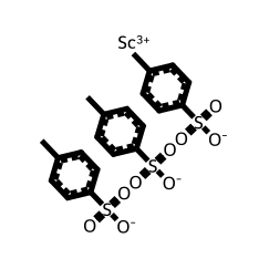 Cc1ccc(S(=O)(=O)[O-])cc1.Cc1ccc(S(=O)(=O)[O-])cc1.Cc1ccc(S(=O)(=O)[O-])cc1.[Sc+3]